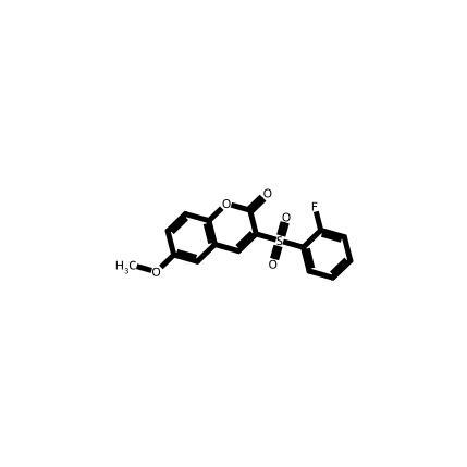 COc1ccc2oc(=O)c(S(=O)(=O)c3ccccc3F)cc2c1